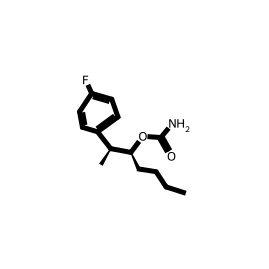 CCCC[C@H](OC(N)=O)[C@@H](C)c1ccc(F)cc1